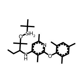 CCC(Nc1cc(C)nc(Oc2c(C)cc(C)cc2C)c1C)C(C)(C)O[SiH2]C(C)(C)C